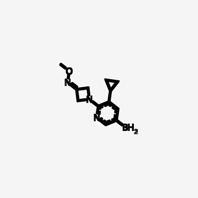 Bc1cnc(N2CC(=NOC)C2)c(C2CC2)c1